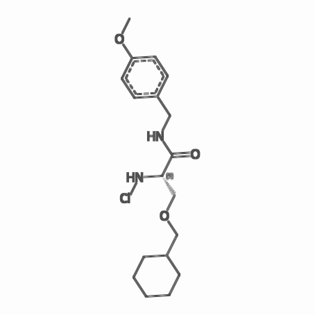 COc1ccc(CNC(=O)[C@H](COCC2CCCCC2)NCl)cc1